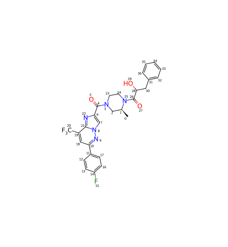 C[C@H]1CN(C(=O)c2cn3nc(-c4ccc(F)cc4)cc(C(F)(F)F)c3n2)CCN1C(=O)C(O)Cc1ccccc1